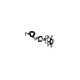 O=C(OC(C(F)(F)F)C(F)(F)F)N1CCN(Sc2cccc(F)c2)CC1